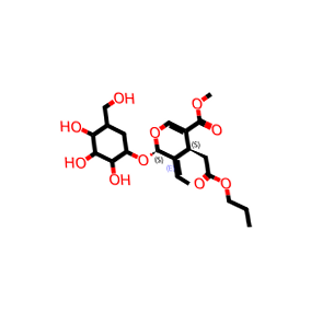 C/C=C1/[C@H](OC2CC(CO)C(O)C(O)C2O)OC=C(C(=O)OC)[C@H]1CC(=O)OCCC